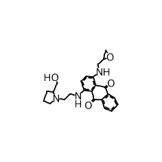 O=C1c2ccccc2C(=O)c2c(NCC3CO3)ccc(NCCN3CCCC3CO)c21